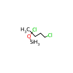 CC(Cl)(CCCCl)O[SiH3]